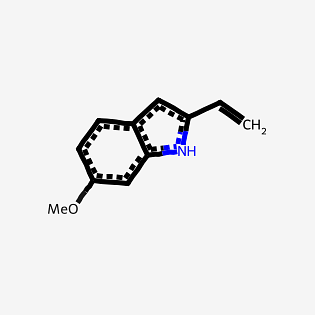 C=Cc1cc2ccc(OC)cc2[nH]1